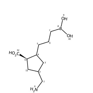 NCC1CC(CCCB(O)O)[C@H](C(=O)O)C1